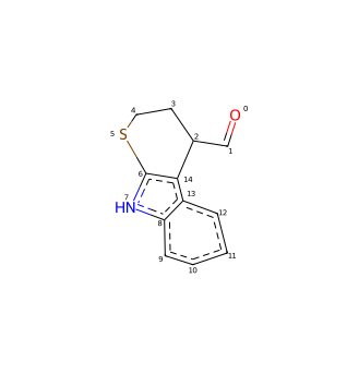 O=CC1CCSc2[nH]c3ccccc3c21